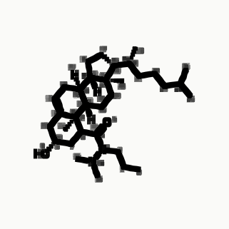 CCCN(C(=O)C1C[C@H](O)CC2=CC[C@H]3[C@@H]4CC[C@H]([C@H](C)CCCC(C)C)[C@@]4(C)CC[C@@H]3[C@]21C)N(C)C